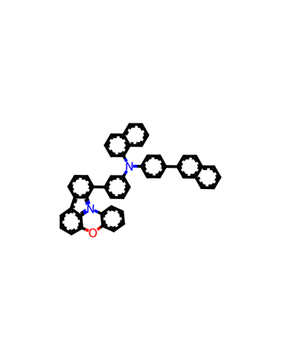 c1cc(-c2cccc3c4cccc5c4n(c23)-c2ccccc2O5)cc(N(c2ccc(-c3ccc4ccccc4c3)cc2)c2cccc3ccccc23)c1